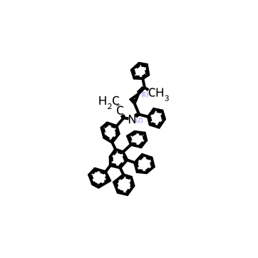 C=C=C(/N=C(C1=C/C1=C(/C)c1ccccc1)/c1ccccc1)c1cccc(-c2cc(-c3ccccc3)c(-c3ccccc3)c(-c3ccccc3)c2-c2ccccc2)c1